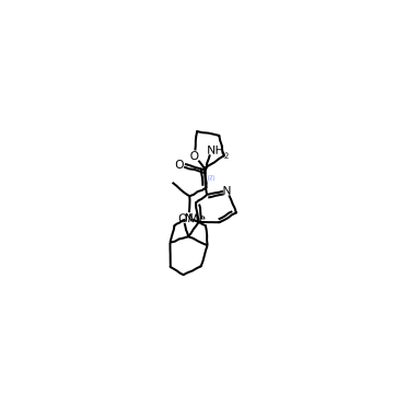 COC1(c2ccnc(C(N)=O)c2)C2CCCC1CN(C(C)/C=C1/CCCO1)C2